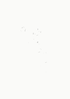 CC(C)(C)NC(CCCCNC(=O)[C@@H](O)[C@H](O)CCC(=O)C(C)(C)C)C(=O)N[C@@H](CSSc1ccccn1)C(N)=O